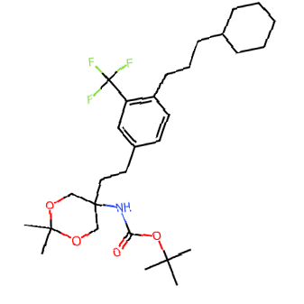 CC(C)(C)OC(=O)NC1(CCc2ccc(CCCC3CCCCC3)c(C(F)(F)F)c2)COC(C)(C)OC1